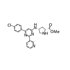 COC(=O)[C@H]1C[C@@H](Nc2cc(-c3ccc(Cl)cc3)nc(-c3cccnc3)n2)CN1